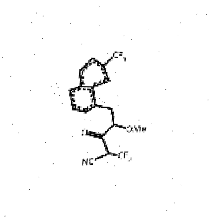 COC(Cc1cccc2ccc(C(F)(F)F)cc12)C(=O)C(C#N)C(F)(F)F